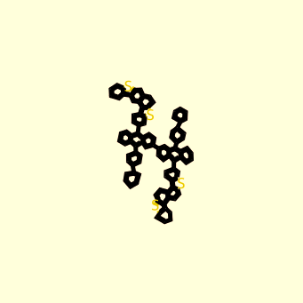 C1=Cc2sc3ccc4c(ccc5sc6cc(-c7c8ccccc8c(-c8ccc(-c9ccccc9)cc8)c8cc(-c9ccc%10c(-c%11ccc%12c(c%11)sc%11ccc%13cc%14sc%15ccccc%15c%14cc%13c%11%12)c%11ccccc%11c(-c%11ccc(-c%12ccccc%12)cc%11)c%10c9)ccc78)ccc6c54)c3c2CC1